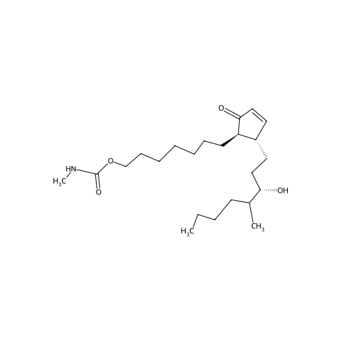 CCCCC(C)[C@@H](O)CC[C@H]1C=CC(=O)[C@@H]1CCCCCCCOC(=O)NC